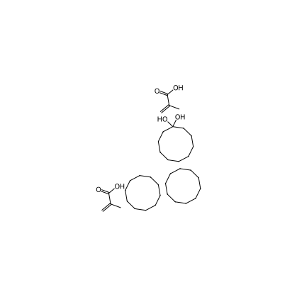 C1CCCCCCCCC1.C1CCCCCCCCC1.C=C(C)C(=O)O.C=C(C)C(=O)O.OC1(O)CCCCCCCCC1